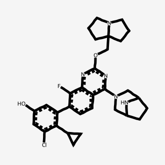 Oc1cc(Cl)c(C2CC2)c(-c2ccc3c(N4CC5CCC(C4)N5)nc(OCC45CCCN4CCC5)nc3c2F)c1